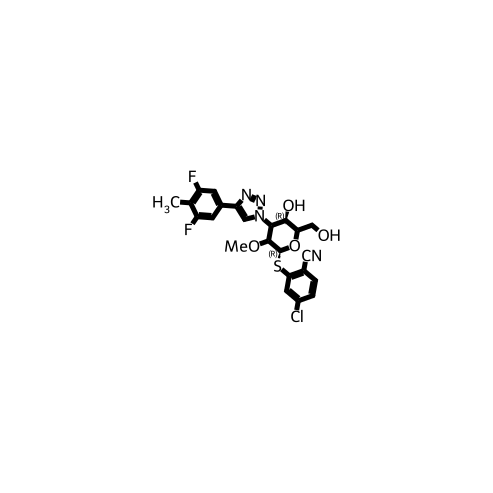 COC1C(n2cc(-c3cc(F)c(C)c(F)c3)nn2)[C@@H](O)C(CO)O[C@@H]1Sc1cc(Cl)ccc1C#N